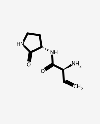 C=C[C@H](N)C(=O)N[C@H]1CCNC1=O